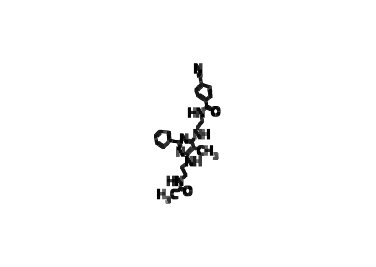 CC(=O)NCCNc1nc(-c2ccccc2)nc(NCCNC(=O)c2ccc(C#N)cc2)c1C